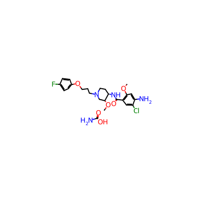 COc1cc(N)c(Cl)cc1C(=O)N[C@@H]1CCN(CCCOc2ccc(F)cc2)C[C@@H]1OC.NC(=O)O